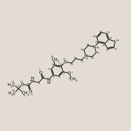 COc1cc(NC(=O)CNC(=O)OC(C)(C)C)cc(C)c1OCCCN1CCN(c2cccc3sccc23)CC1